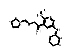 CNc1ncc(NC2CCCCC2)cc1C(=N)CCCN1CCCC1